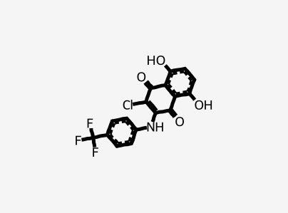 O=C1C(Cl)=C(Nc2ccc(C(F)(F)F)cc2)C(=O)c2c(O)ccc(O)c21